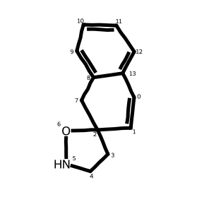 C1=CC2(CCNO2)Cc2ccccc21